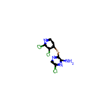 Nc1nc(Cl)cnc1Sc1ccnc(Cl)c1Cl